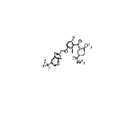 CN1CCC(C(N)=O)CC1C(=O)c1c(F)ccc(OCc2nc3cc(C(F)(F)F)cnc3s2)c1F